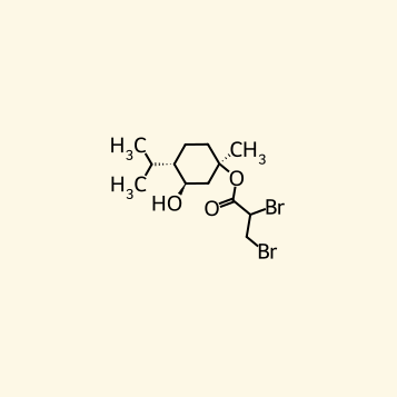 CC(C)[C@@H]1CC[C@@](C)(OC(=O)C(Br)CBr)C[C@H]1O